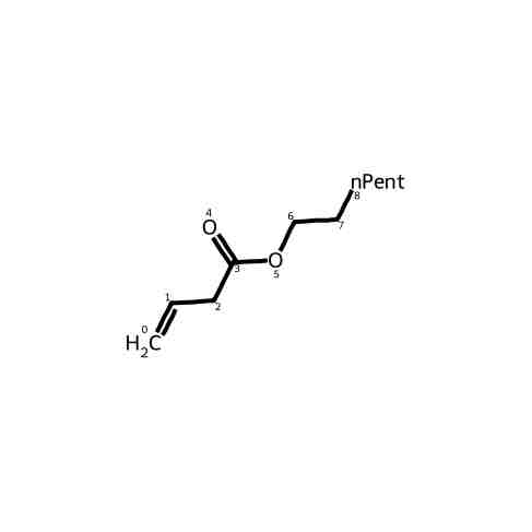 C=CCC(=O)OCCCCCCC